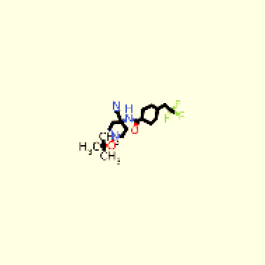 CC(C)(C)ON1CCC(C#N)(NC(=O)C2CCC(CC(F)(F)F)CC2)CC1